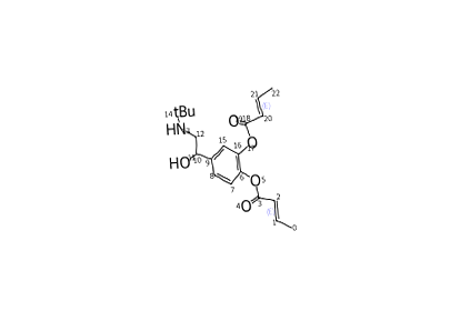 C/C=C/C(=O)Oc1ccc(C(O)CNC(C)(C)C)cc1OC(=O)/C=C/C